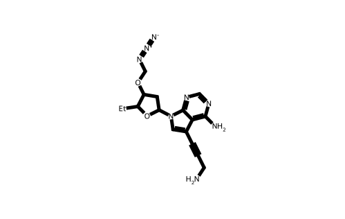 CCC1OC(n2cc(C#CCN)c3c(N)ncnc32)CC1OCN=[N+]=[N-]